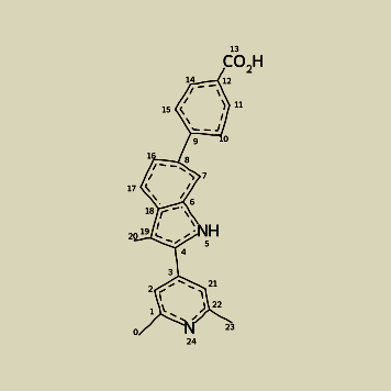 Cc1cc(-c2[nH]c3cc(-c4ccc(C(=O)O)cc4)ccc3c2C)cc(C)n1